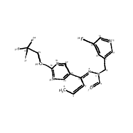 C/C=C\C(=N/N(C=O)Cc1cncc(F)c1)c1cnc(OCC(F)(F)F)nc1